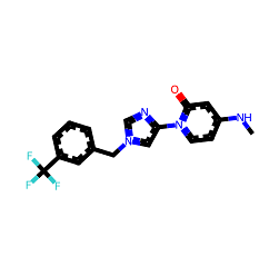 CNc1ccn(-c2cn(Cc3cccc(C(F)(F)F)c3)cn2)c(=O)c1